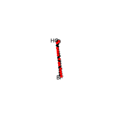 O=C(O)CCCCCCCCCCCCCCCCCCCCCCCCCCCCBr